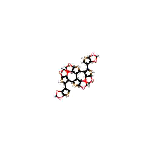 c1sc2c(c1-c1sc3c(c1-c1sc4c(c1-c1c(-c5c(-c6csc7c6OCO7)sc6c5OCO6)sc5c1OCO5)OCO4)OCO3)OCO2